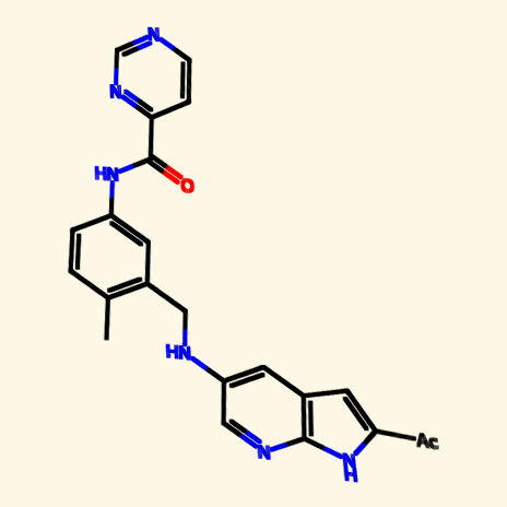 CC(=O)c1cc2cc(NCc3cc(NC(=O)c4ccncn4)ccc3C)cnc2[nH]1